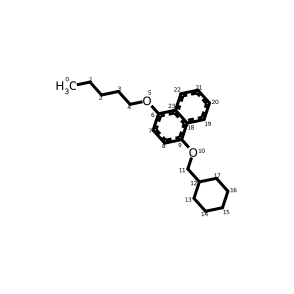 CCCCCOc1ccc(OCC2CCCCC2)c2ccccc12